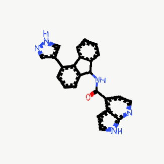 O=C(NC1c2ccccc2-c2c(-c3cn[nH]c3)cccc21)c1ccnc2[nH]ccc12